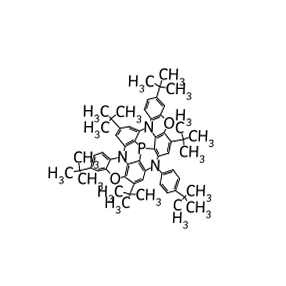 CC(C)(C)c1ccc(-n2c3cc(C(C)(C)C)c4oc5cc(C(C)(C)C)ccc5n5c6cc(C(C)(C)C)cc7c6p(c3c45)c3c2cc(C(C)(C)C)c2oc4cc(C(C)(C)C)ccc4n7c23)cc1